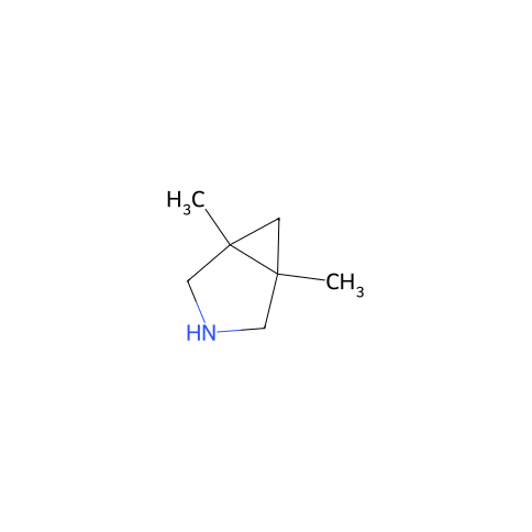 CC12CNCC1(C)C2